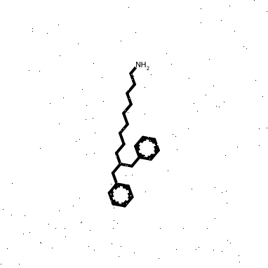 NCCCCCCCCCC(Cc1ccccc1)Cc1ccccc1